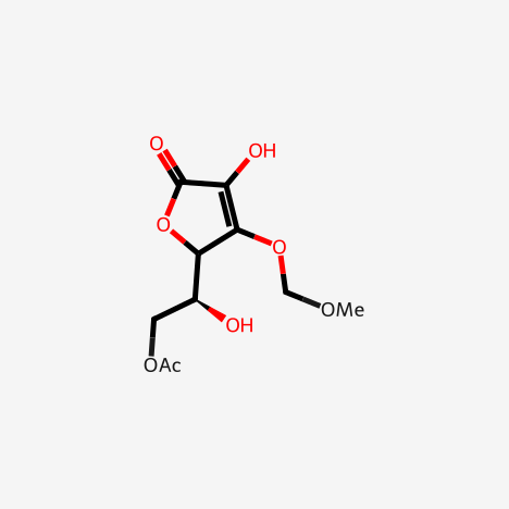 COCOC1=C(O)C(=O)OC1[C@@H](O)COC(C)=O